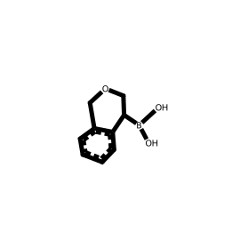 OB(O)C1COCc2ccccc21